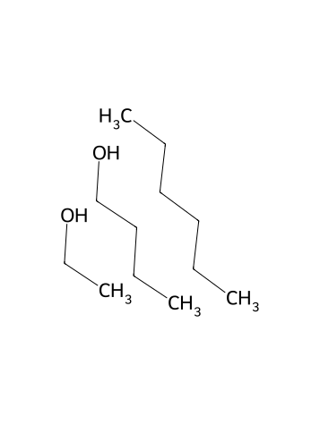 CCCCCC.CCCCO.CCO